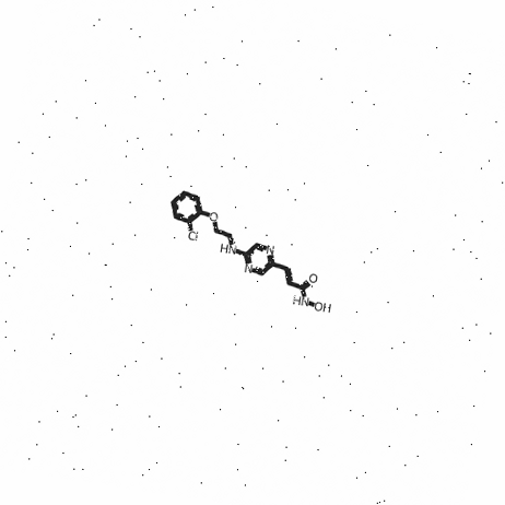 O=C(/C=C/c1cnc(NCCOc2ccccc2Cl)cn1)NO